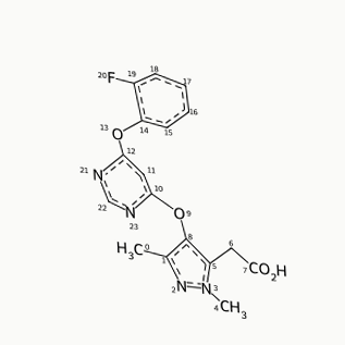 Cc1nn(C)c(CC(=O)O)c1Oc1cc(Oc2ccccc2F)ncn1